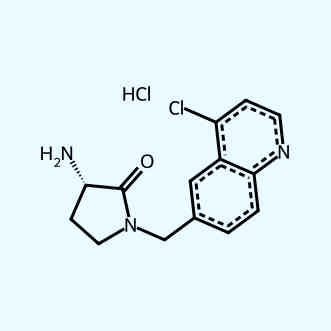 Cl.N[C@H]1CCN(Cc2ccc3nccc(Cl)c3c2)C1=O